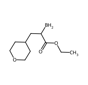 BC(CC1CCOCC1)C(=O)OCC